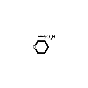 C1CCOCC1.CS(=O)(=O)O